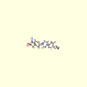 N#Cc1ccc(N2CCN(c3ccc4c(c3)CC(=O)N4)CC2)cc1